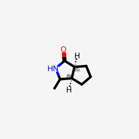 CC1NC(=O)[C@H]2CCC[C@@H]12